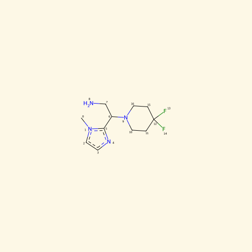 Cn1ccnc1C(CN)N1CCC(F)(F)CC1